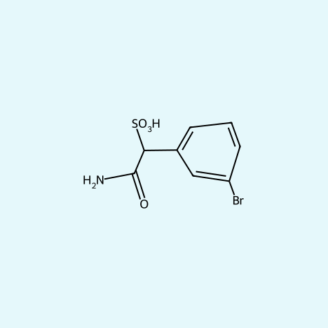 NC(=O)C(c1cccc(Br)c1)S(=O)(=O)O